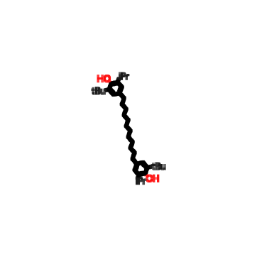 CC(C)c1cc(CCCCCCCCCCCCc2cc(C(C)C)c(O)c(C(C)(C)C)c2)cc(C(C)(C)C)c1O